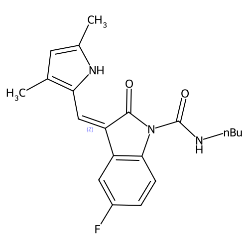 CCCCNC(=O)N1C(=O)/C(=C\c2[nH]c(C)cc2C)c2cc(F)ccc21